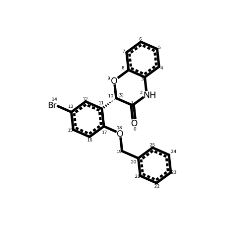 O=C1Nc2ccccc2O[C@H]1c1cc(Br)ccc1OCc1ccccc1